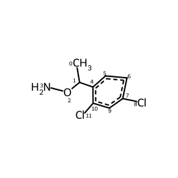 CC(ON)c1ccc(Cl)cc1Cl